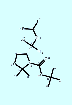 [2H]C([2H])(OC(F)F)[C@H]1COC(C)(C)N1C(=O)OC(C)(C)C